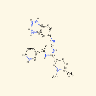 CC(=O)N1C[C@H](c2nc(Nc3ccc4nncnc4c3)cc(-c3cccnc3)n2)CC[C@@H]1C